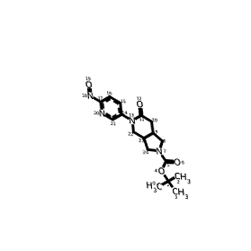 CC(C)(C)OC(=O)N1CC2CC(=O)N(c3ccc(N=O)nc3)CC2C1